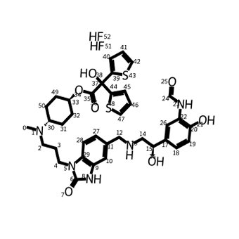 CN(CCCn1c(=O)[nH]c2cc(CNC[C@H](O)c3ccc(O)c(NC=O)c3)ccc21)[C@H]1CC[C@H](OC(=O)C(O)(c2cccs2)c2cccs2)CC1.F.F